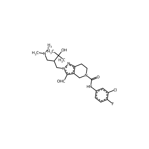 CN(C)CC(Cn1nc2c(c1C=O)CN(C(=O)Nc1ccc(F)c(Cl)c1)CC2)C(C)(C)O